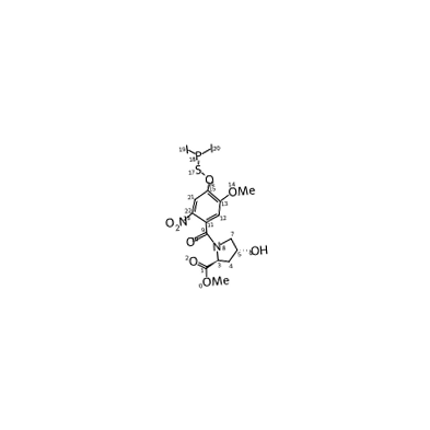 COC(=O)[C@@H]1C[C@@H](O)CN1C(=O)c1cc(OC)c(OSP(I)I)cc1[N+](=O)[O-]